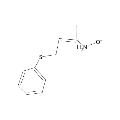 CC(=CCSc1ccccc1)[NH2+][O-]